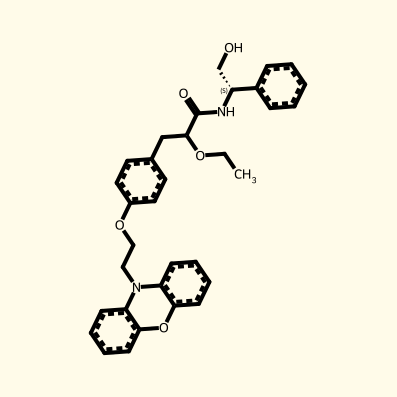 CCOC(Cc1ccc(OCCN2c3ccccc3Oc3ccccc32)cc1)C(=O)N[C@H](CO)c1ccccc1